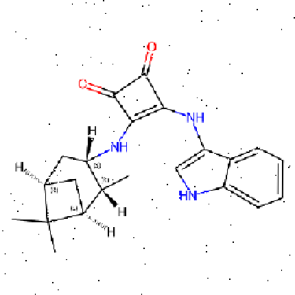 C[C@H]1[C@@H](Nc2c(Nc3c[nH]c4ccccc34)c(=O)c2=O)C[C@H]2C[C@@H]1C2(C)C